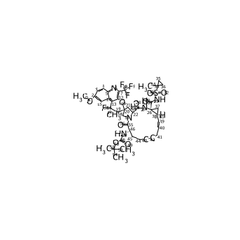 COc1ccc2nc(C(F)(F)F)c3c(c2c1)[C@](C)(F)C[C@]1(C[C@H]2C(=O)N[C@]4(C(=O)NS(=O)(=O)C5(C)CC5)C[C@H]4/C=C\CCCCC[C@H](NC(=O)OC(C)(C)C)C(=O)N2C1)O3